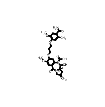 C=C1C[C@H]2C(O)N(C(=O)O)c3cc(OCCCOc4cc(C)c(C(N)=O)cc4OC)c(OC)cc3C(=O)N2C1